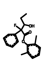 CCC(O)C(F)(C(=O)Oc1c(C)cccc1C)c1ccccc1